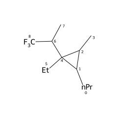 CCCC1C(C)C1(CC)C(C)C(F)(F)F